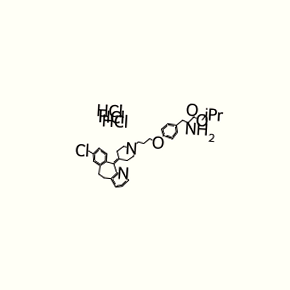 CC(C)OC(=O)[C@@H](N)Cc1ccc(OCCCN2CCC(=C3c4ccc(Cl)cc4CCc4cccnc43)CC2)cc1.Cl.Cl.Cl